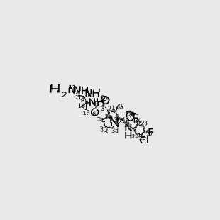 Cc1c(C(=O)C(=O)NC2(/C(N)=C/NN)CC2)c2n(c1C(=O)Nc1cc(Cl)c(F)cc1F)CCC2